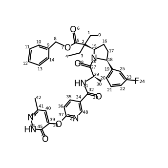 CCC(CC)(C(=O)OCc1ccccc1)[C@H]1CC[C@@H](c2cccc(F)c2)N1C(=O)[C@@H](C)NC(=O)c1ccc(Oc2cc(C)n[nH]c2=O)nc1